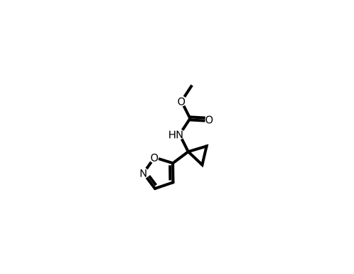 COC(=O)NC1(c2ccno2)CC1